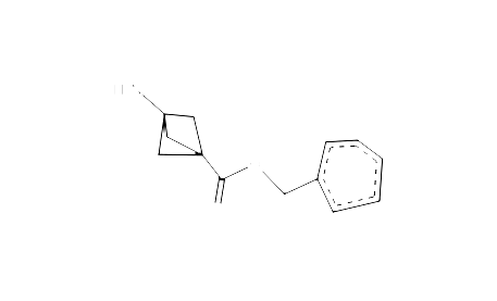 NC12CC(C(=O)OCc3ccccc3)(C1)C2